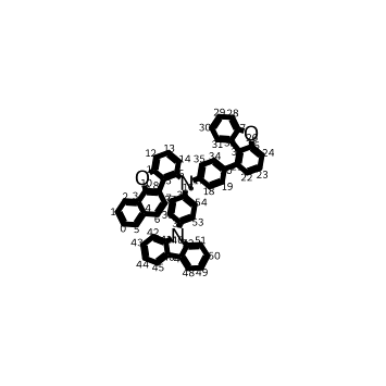 c1ccc2c(c1)ccc1c2oc2cccc(N(c3ccc(-c4cccc5oc6ccccc6c45)cc3)c3ccc(-n4c5ccccc5c5ccccc54)cc3)c21